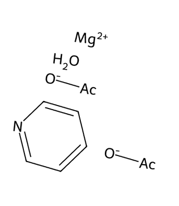 CC(=O)[O-].CC(=O)[O-].O.[Mg+2].c1ccncc1